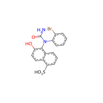 NC(=O)N(c1ccccc1Br)c1c(O)ccc2c(S(=O)(=O)O)cccc12